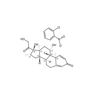 C[C@H]1C[C@H]2[C@@H]3CCC4=CC(=O)C=C[C@]4(C)[C@@]3(F)[C@@H](O)C[C@]2(C)[C@@]1(O)C(=O)CO.O=[N+]([O-])c1ccccc1Cl